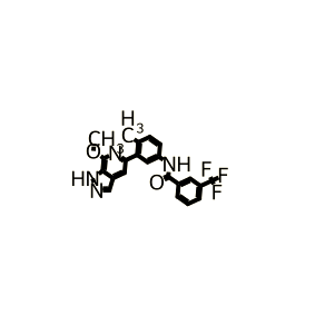 COc1nc(-c2cc(NC(=O)c3cccc(C(F)(F)F)c3)ccc2C)cc2cn[nH]c12